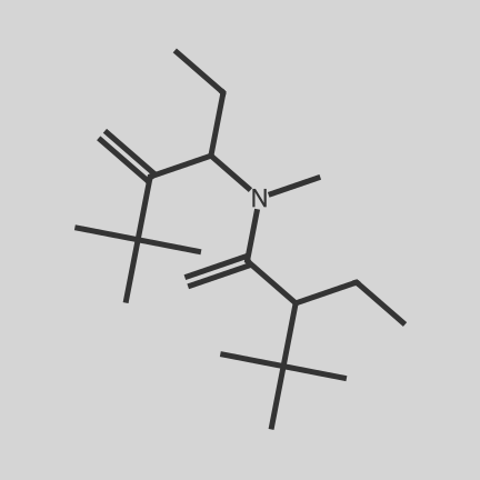 C=C(C(CC)C(C)(C)C)N(C)C(CC)C(=C)C(C)(C)C